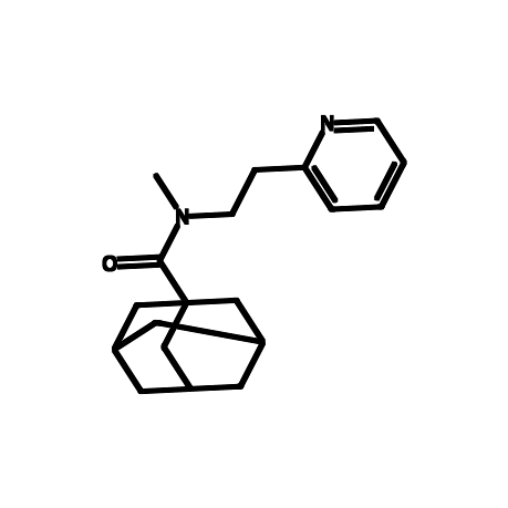 CN(CCc1ccccn1)C(=O)C12CC3CC(CC(C3)C1)C2